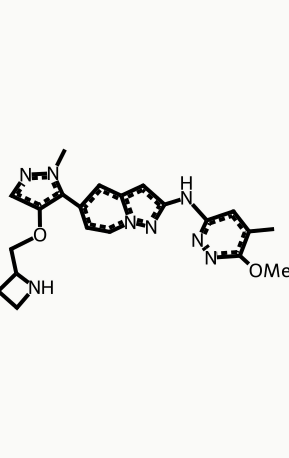 COc1nnc(Nc2cc3cc(-c4c(OCC5CCN5)cnn4C)ccn3n2)cc1C